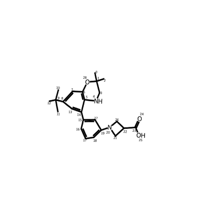 CC1(C)CNc2c(cc(C(C)(C)C)cc2-c2cccc(N3CC(C(=O)O)C3)c2)O1